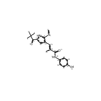 C=Nc1[nH]c(C(=O)C(C)(C)C)cc1/C=C(\C)C(=O)Nc1ccc(O)cc1